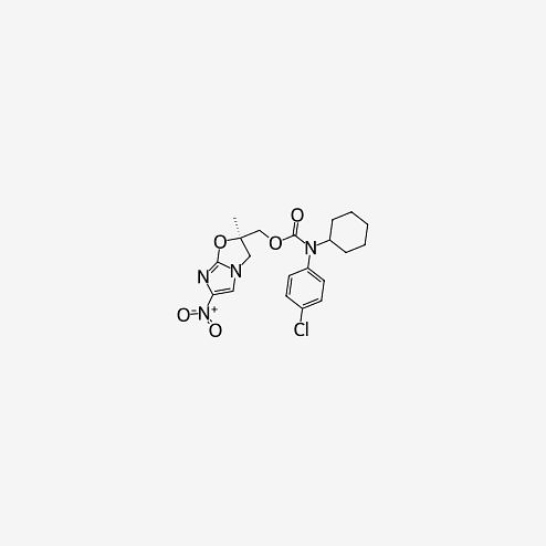 C[C@]1(COC(=O)N(c2ccc(Cl)cc2)C2CCCCC2)Cn2cc([N+](=O)[O-])nc2O1